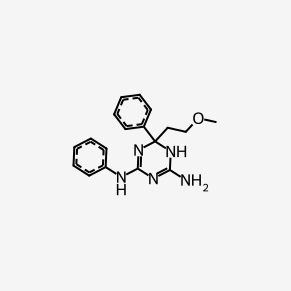 COCCC1(c2ccccc2)N=C(Nc2ccccc2)N=C(N)N1